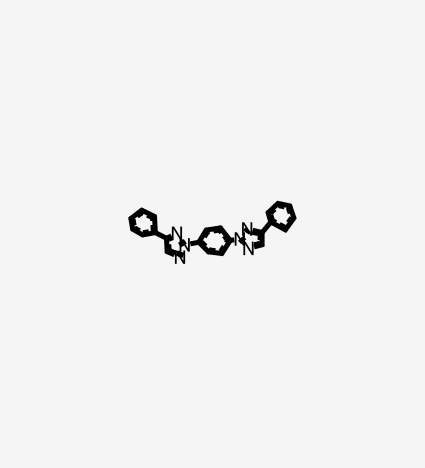 c1ccc(-c2cnn(-c3ccc(-n4ncc(-c5ccccc5)n4)cc3)n2)cc1